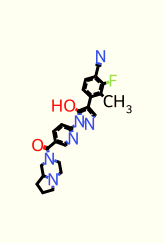 Cc1c(-c2cnn(-c3ccc(C(=O)N4CCN5CCCC5C4)cn3)c2O)ccc(C#N)c1F